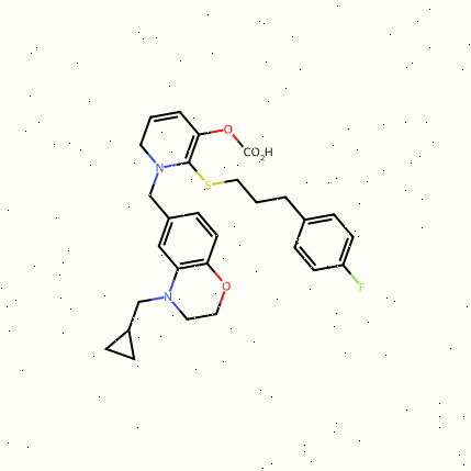 O=C(O)OC1=C(SCCCc2ccc(F)cc2)N(Cc2ccc3c(c2)N(CC2CC2)CCO3)CC=C1